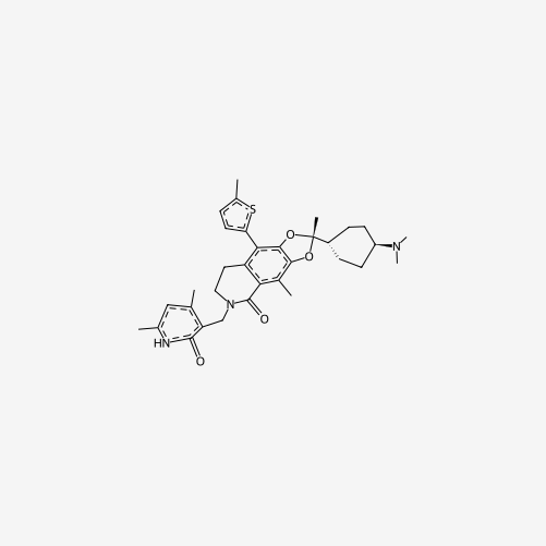 Cc1cc(C)c(CN2CCc3c(c(C)c4c(c3-c3ccc(C)s3)O[C@](C)([C@H]3CC[C@H](N(C)C)CC3)O4)C2=O)c(=O)[nH]1